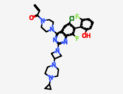 C=CC(=O)N1CCN(c2nc(N3CC(N4CCN(C5CC5)CC4)C3)nc3c(F)c(-c4c(O)cccc4F)c(Cl)cc23)CC1